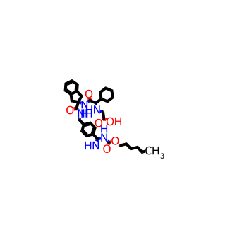 CCCCCCOC(=O)NC(=N)c1ccc(CNC(=O)C2(NC(=O)[C@H](NCC(=O)O)C3CCCCC3)Cc3ccccc3C2)cc1